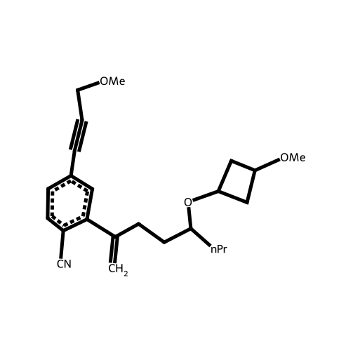 C=C(CCC(CCC)OC1CC(OC)C1)c1cc(C#CCOC)ccc1C#N